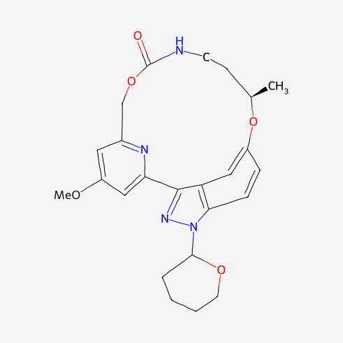 COc1cc2nc(c1)-c1nn(C3CCCCO3)c3ccc(cc13)O[C@H](C)CCNC(=O)OC2